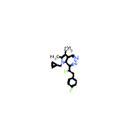 Cc1c(C)n(CC2CC2)c2c(C(F)Cc3ccc(F)cc3)nncc12